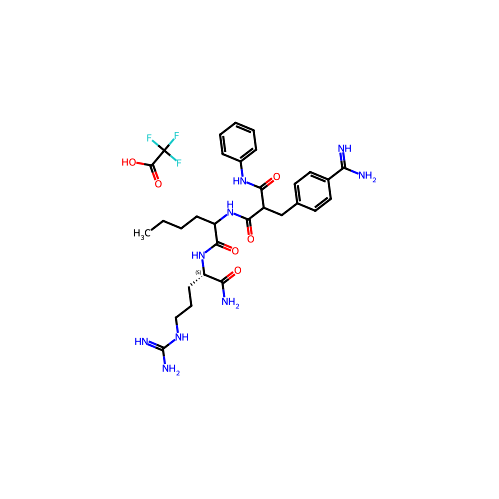 CCCCC(NC(=O)C(Cc1ccc(C(=N)N)cc1)C(=O)Nc1ccccc1)C(=O)N[C@@H](CCCNC(=N)N)C(N)=O.O=C(O)C(F)(F)F